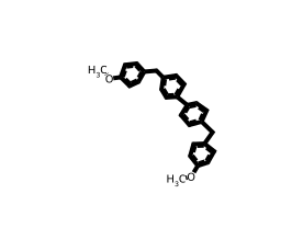 COc1ccc(Cc2ccc(-c3ccc(Cc4ccc(OC)cc4)cc3)cc2)cc1